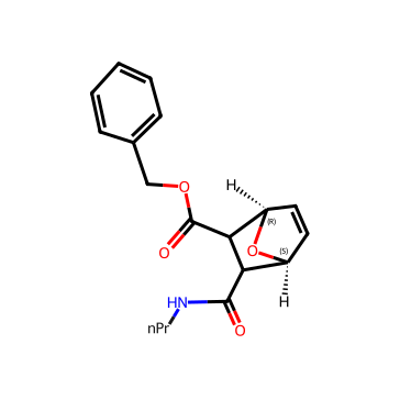 CCCNC(=O)C1C(C(=O)OCc2ccccc2)[C@H]2C=C[C@@H]1O2